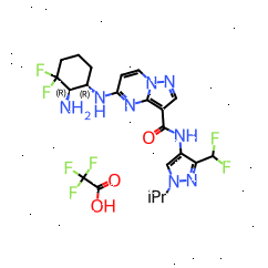 CC(C)n1cc(NC(=O)c2cnn3ccc(N[C@@H]4CCCC(F)(F)[C@@H]4N)nc23)c(C(F)F)n1.O=C(O)C(F)(F)F